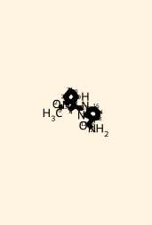 CC(=O)n1cc(-c2nc3c(C(N)=O)cccc3[nH]2)c2ccccc21